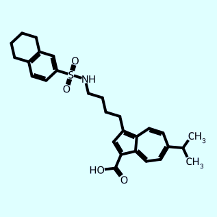 CC(C)c1ccc2c(CCCCNS(=O)(=O)c3ccc4c(c3)CCCC4)cc(C(=O)O)c-2cc1